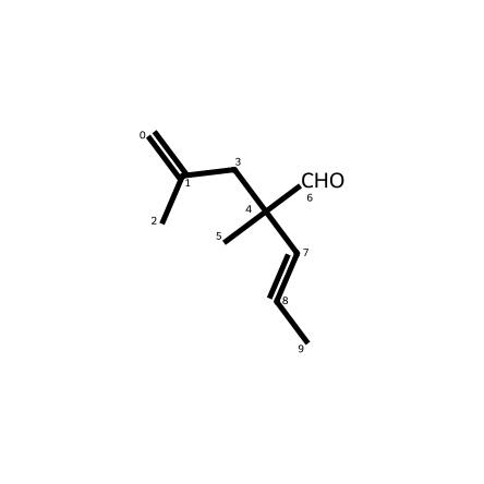 C=C(C)CC(C)(C=O)C=CC